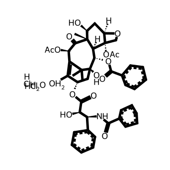 CC(=O)O[C@H]1C(=O)[C@@]2(C)[C@H]([C@H](OC(=O)c3ccccc3)[C@]3(O)C[C@H](OC(=O)[C@H](O)[C@@H](NC(=O)c4ccccc4)c4ccccc4)C(C)=C1C3(C)C)[C@]1(OC(C)=O)CO[C@@H]1C[C@@H]2O.Cl.Cl.O.O